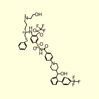 CN(CCO)CCC[C@H](CSc1ccccc1)Nc1ccc(S(=O)(=O)NC(=O)c2ccc(N3CCC(C(O)c4ccccc4-c4ccc(C(F)(F)F)cc4)CC3)cc2)cc1S(=O)(=O)C(F)(F)F